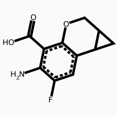 Nc1c(F)cc2c(c1C(=O)O)OCC1CC21